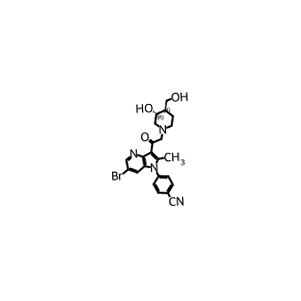 Cc1c(C(=O)CN2CC[C@H](CO)[C@@H](O)C2)c2ncc(Br)cc2n1-c1ccc(C#N)cc1